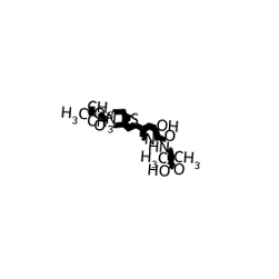 CC(C)(C)OC(=O)N1CCc2sc(-c3cnc(C(=O)NCC(C)(C)C(=O)O)c(O)c3)cc2C1